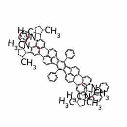 CC1CCC2(C)C1c1cc(-c3ccc4c5c(-c6ccccc6)c6c7ccc(-c8ccc9c(c8)C8C(C)CCC8(C)N9c8ccccc8)c8c(-c9ccc%10c(c9)C9C(C)CCC9(C)N%10c9ccccc9)ccc(c6c(-c6ccccc6)c5c5ccc(-c6ccc9c(c6)C6C(C)CCC6(C)N9c6ccccc6)c3c45)c87)ccc1N2c1ccccc1